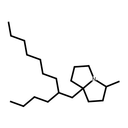 CCCCCCCC(CCCC)CC12CCCN1C(C)CC2